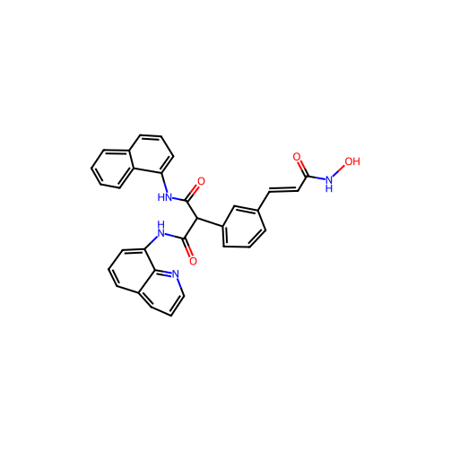 O=C(/C=C/c1cccc(C(C(=O)Nc2cccc3ccccc23)C(=O)Nc2cccc3cccnc23)c1)NO